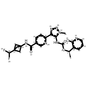 C[C@@H](OC(=O)Nc1c(-c2ccc(C(=O)NC34CC(C(F)F)(C3)C4)cn2)nnn1C)c1cccnc1Cl